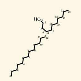 CCCCCCCCCCCCC[C@H](CCO)CCCCCCC